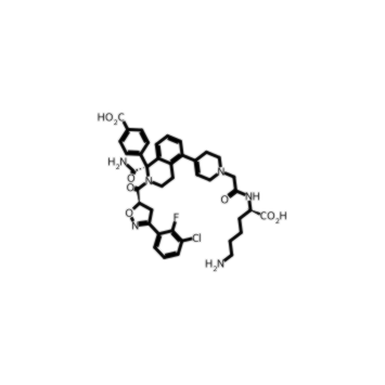 NCCCC[C@@H](NC(=O)CN1CC=C(c2cccc3c2CCN(C(=O)[C@H]2CC(c4cccc(Cl)c4F)=NO2)[C@@]3(C(N)=O)c2ccc(C(=O)O)cc2)CC1)C(=O)O